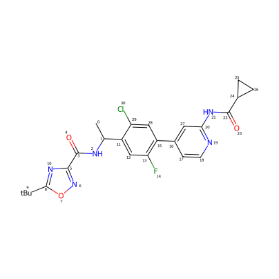 CC(NC(=O)c1noc(C(C)(C)C)n1)c1cc(F)c(-c2ccnc(NC(=O)C3CC3)c2)cc1Cl